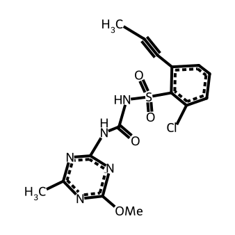 CC#Cc1cccc(Cl)c1S(=O)(=O)NC(=O)Nc1nc(C)nc(OC)n1